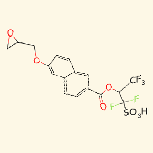 O=C(OC(C(F)(F)F)C(F)(F)S(=O)(=O)O)c1ccc2cc(OCC3CO3)ccc2c1